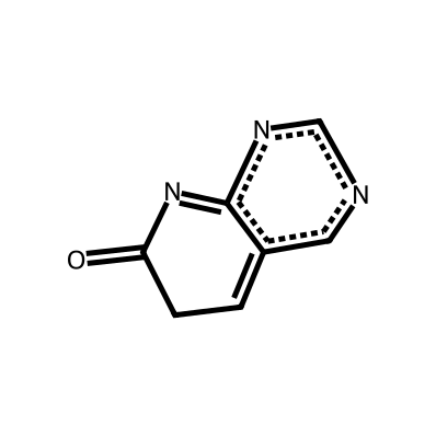 O=C1CC=c2cncnc2=N1